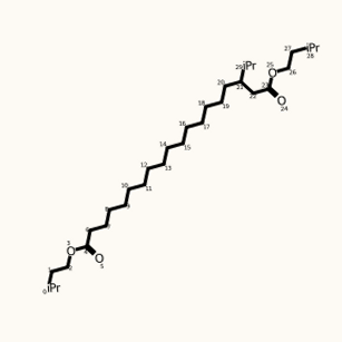 CC(C)CCOC(=O)CCCCCCCCCCCCCCCC(CC(=O)OCCC(C)C)C(C)C